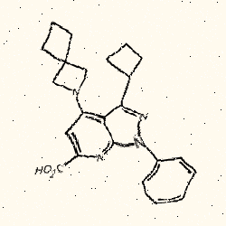 O=C(O)c1cc(N2CC3(CCC3)C2)c2c(C3CCC3)nn(-c3ccccc3)c2n1